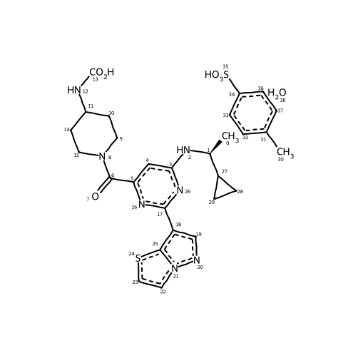 C[C@H](Nc1cc(C(=O)N2CCC(NC(=O)O)CC2)nc(-c2cnn3ccsc23)n1)C1CC1.Cc1ccc(S(=O)(=O)O)cc1.O